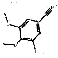 COc1cc(C#N)cc(I)c1OC